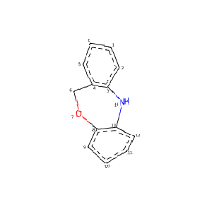 c1ccc2c(c1)COc1ccccc1N2